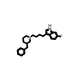 Fc1ccc2c(CCCCN3CCCC(Cc4ccccc4)C3)c[nH]c2c1